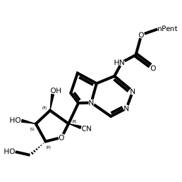 CCCCCOC(=O)Nc1nncn2c([C@]3(C#N)O[C@H](CO)[C@@H](O)[C@H]3O)ccc12